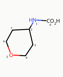 O=C(O)NC1CCOCC1